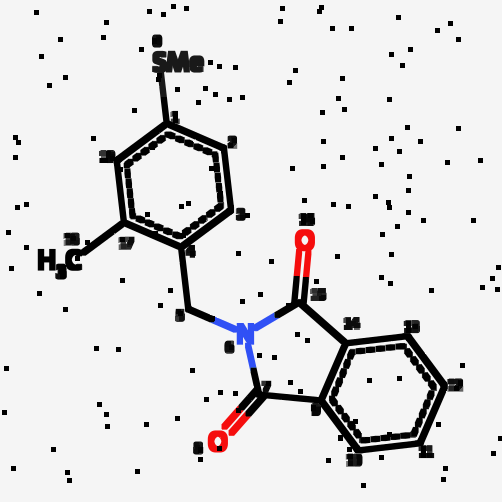 CSc1ccc(CN2C(=O)c3ccccc3C2=O)c(C)c1